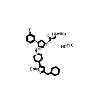 CCn1nc(CC2CCCCC2)cc1C1CCN(C[C@H]2C[C@H](OC(=O)CNC(C)(C)C)C[C@@H]2c2cccc(F)c2)CC1.Cl.Cl.Cl